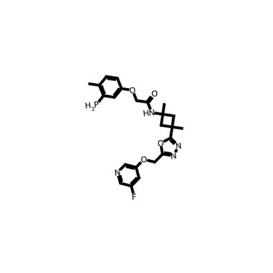 Cc1ccc(OCC(=O)NC2(C)CC(C)(c3nnc(COc4cncc(F)c4)o3)C2)cc1P